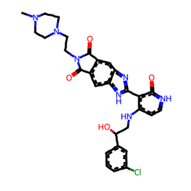 CN1CCN(CCN2C(=O)c3cc4nc(-c5c(NCC(O)c6cccc(Cl)c6)cc[nH]c5=O)[nH]c4cc3C2=O)CC1